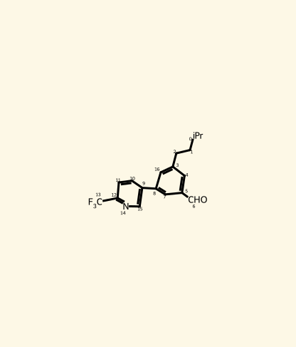 CC(C)CCc1cc(C=O)cc(-c2ccc(C(F)(F)F)nc2)c1